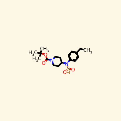 CCc1ccc(N(C2CCN(C(=O)OC(C)(C)C)CC2)[SH](=O)=O)cc1